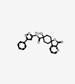 O=C1OC2(CCC(O)(C(=O)Nc3cc(-c4ccccc4)no3)CC2)c2cccnc21